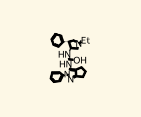 CCN1C[C@@H](NC(O)Nc2c3c(nn2-c2ccccc2)CCC3)[C@H](c2ccccc2)C1